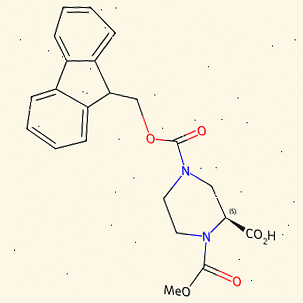 COC(=O)N1CCN(C(=O)OCC2c3ccccc3-c3ccccc32)C[C@H]1C(=O)O